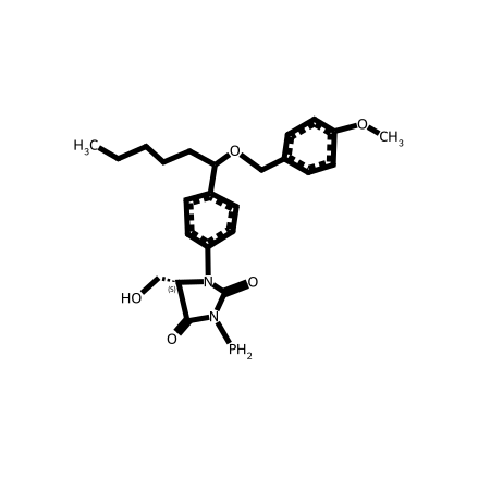 CCCCCC(OCc1ccc(OC)cc1)c1ccc(N2C(=O)N(P)C(=O)[C@@H]2CO)cc1